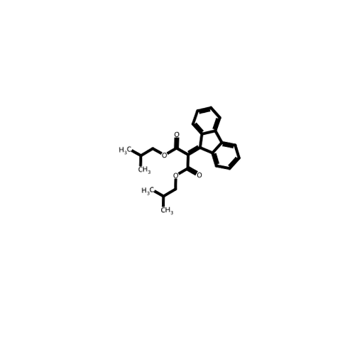 CC(C)COC(=O)C(C(=O)OCC(C)C)=C1c2ccccc2-c2ccccc21